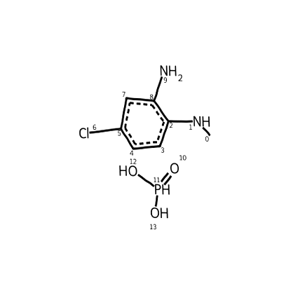 CNc1ccc(Cl)cc1N.O=[PH](O)O